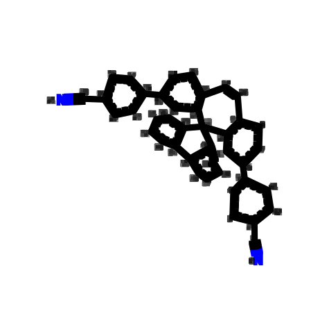 N#Cc1ccc(-c2ccc3c(c2)C2(c4cc(-c5ccc(C#N)cc5)ccc4C=C3)c3ccccc3-c3ccccc32)cc1